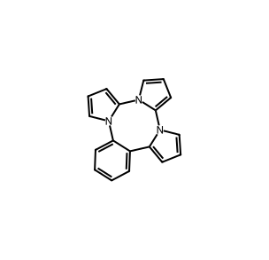 c1ccc2c(c1)c1cccn1c1cccn1c1cccn21